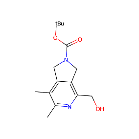 Cc1nc(CO)c2c(c1C)CN(C(=O)OC(C)(C)C)C2